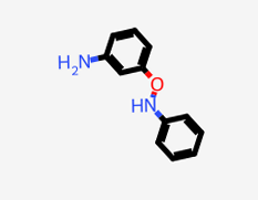 Nc1cccc(ONc2ccccc2)c1